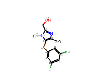 CC(C)c1nc(CO)n(C(C)C)c1Sc1cc(F)cc(F)c1